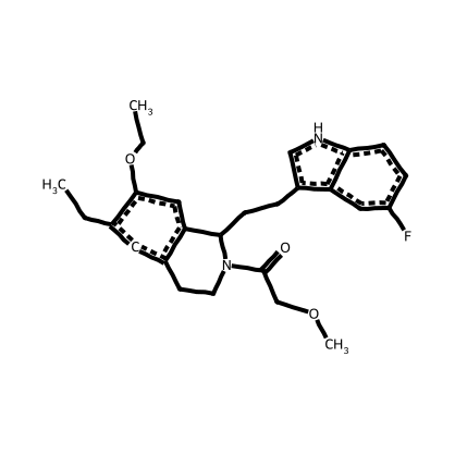 CCOc1cc2c(cc1CC)CCN(C(=O)COC)C2CCc1c[nH]c2ccc(F)cc12